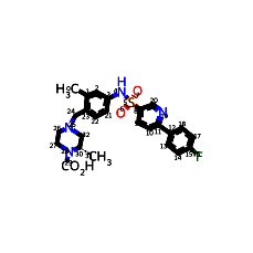 Cc1cc(NS(=O)(=O)c2ccc(-c3ccc(F)cc3)nc2)ccc1CN1CCN(C(=O)O)[C@@H](C)C1